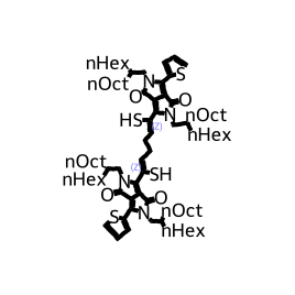 CCCCCCCCC(CCCCCC)CN1C(=O)C2=C(c3cccs3)N(CC(CCCCCC)CCCCCCCC)C(=O)C2=C1/C(S)=C/CC/C=C(\S)C1=C2C(=O)N(CC(CCCCCC)CCCCCCCC)C(c3cccs3)=C2C(=O)N1CC(CCCCCC)CCCCCCCC